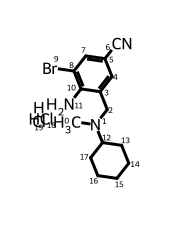 CN(Cc1cc(C#N)cc(Br)c1N)C1CCCCC1.Cl.Cl